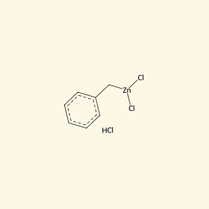 Cl.[Cl][Zn]([Cl])[CH2]c1ccccc1